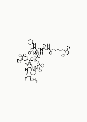 CC[C@H]1C(=O)OCc2c1cc1n(c2=O)Cc2c-1nc1cc(F)c(C)c3c1c2[C@@H](NC(=O)C1(OCNC(=O)CNC(=O)[C@H](CC2C=CC=CC2)NC(=O)CNC(=O)CNC(=O)CCCCCN2C(=O)C=CC2=O)CCC1)CC3